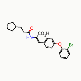 O=C(CCC1CCCC1)N/C(=C/c1ccc(Oc2ccccc2Br)cc1)C(=O)O